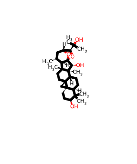 C[C@@H]1C[C@H]2O[C@@]3(O[C@@H]2C(C)(C)O)[C@H](O)[C@@]2(C)[C@@H]4CC[C@H]5C(C)(C)[C@@H](O)CC[C@@]56C[C@@]46CC[C@]2(C)[C@@H]13